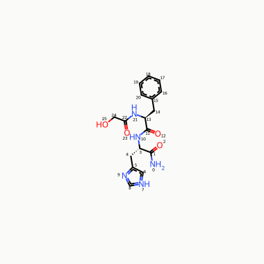 NC(=O)[C@H](Cc1c[nH]cn1)NC(=O)[C@H](Cc1ccccc1)NC(=O)CO